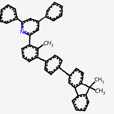 Cc1c(-c2ccc(-c3ccc4c(c3)-c3ccccc3C4(C)C)cc2)cccc1-c1cc(-c2ccccc2)cc(-c2ccccc2)n1